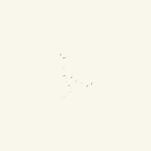 C=C(C)C(=O)OCCOC(=O)N(CC(C)(C)CC(C)CCN)C(=O)OCCOC(=O)C(=C)C